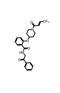 C/C=C/C(=O)N1CCC(Oc2ccccc2C(=O)NCC(=O)c2ccccc2)CC1